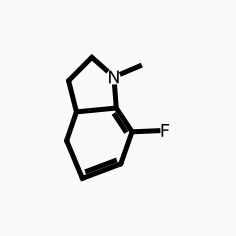 CN1CCC2CC=CC(F)=C21